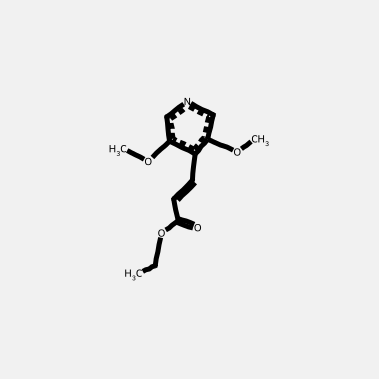 CCOC(=O)C=Cc1c(OC)cncc1OC